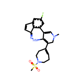 CN1C=C2C(=C(C3=CCCN(S(C)(=O)=O)CC3)C1)NN=C1C=Cc3cc(F)cc2c31